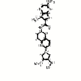 CCNC1CN(c2ccc3c(n2)CCC(NC(=O)c2sc4nc(C)cnc4c2N)C3)CC1OC